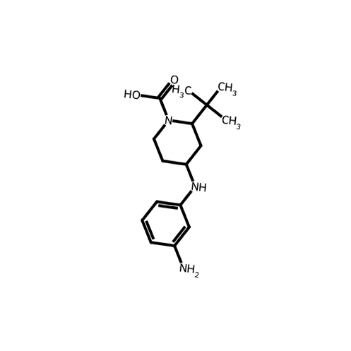 CC(C)(C)C1CC(Nc2cccc(N)c2)CCN1C(=O)O